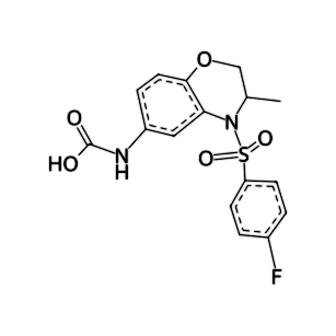 CC1COc2ccc(NC(=O)O)cc2N1S(=O)(=O)c1ccc(F)cc1